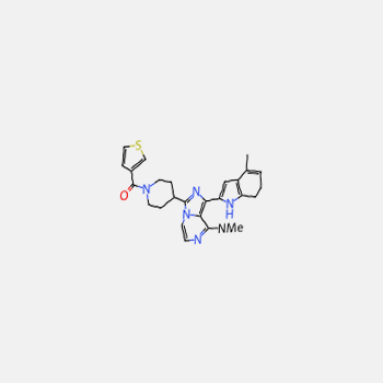 CNc1nccn2c(C3CCN(C(=O)c4ccsc4)CC3)nc(-c3cc4c([nH]3)CCC=C4C)c12